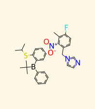 CC(C)Sc1ccccc1B(c1ccccc1)C(C)(C)C.Cc1c(F)ccc(Cn2ccnc2)c1[N+](=O)[O-]